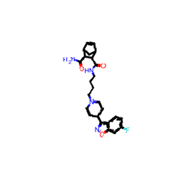 NC(=O)C1C2C=CC(C2)C1C(=O)NCCCCN1CCC(c2noc3cc(F)ccc23)CC1